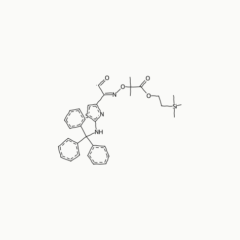 CC(C)(ON=C([C]=O)c1csc(NC(c2ccccc2)(c2ccccc2)c2ccccc2)n1)C(=O)OCC[Si](C)(C)C